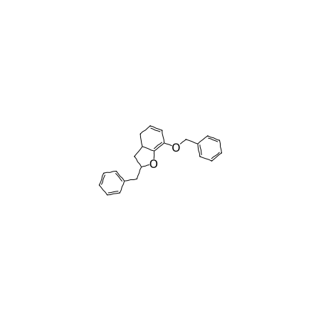 C1=CC(OCc2ccccc2)=C2OC(Cc3ccccc3)CC2C1